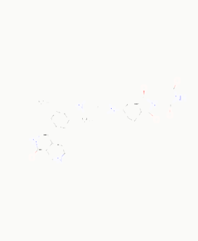 COc1cc(-c2cn(C)c(=O)c3cnccc23)cc(OC)c1CN1CCC2(CC1)CN(c1ccc3c(c1)C(=O)N([C@@H]1CC(=O)NC1=O)C3=O)C2